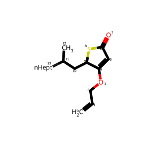 C=CCOC1=CC(=O)SC1CC(C)CCCCCCC